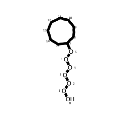 OOOOOOOC1CCCCCCCC1